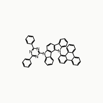 c1ccc(-c2nc(-c3ccccc3)nc(-n3c4ccccc4c4c3ccc3c5ccccc5n(-c5cccc6c7ccccc7c7ccccc7c56)c34)n2)cc1